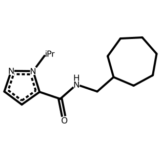 CC(C)n1nccc1C(=O)NCC1CCCCCC1